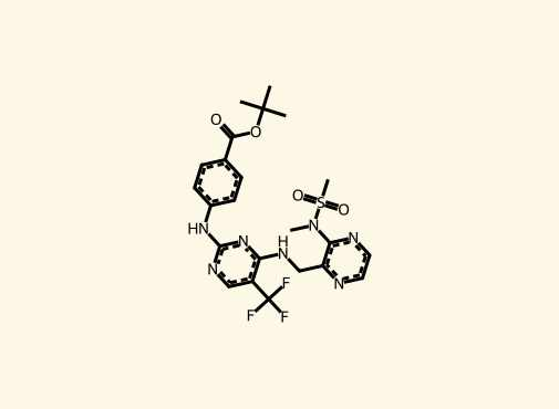 CN(c1nccnc1CNc1nc(Nc2ccc(C(=O)OC(C)(C)C)cc2)ncc1C(F)(F)F)S(C)(=O)=O